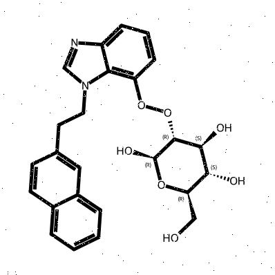 OC[C@H]1O[C@@H](O)[C@H](OOc2cccc3ncn(CCc4ccc5ccccc5c4)c23)[C@@H](O)[C@@H]1O